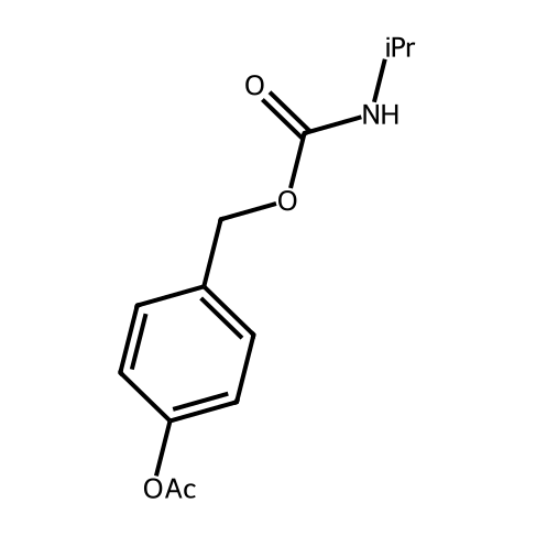 CC(=O)Oc1ccc(COC(=O)NC(C)C)cc1